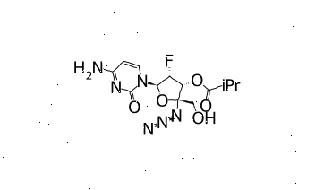 CC(C)C(=O)O[C@H]1[C@@H](F)[C@H](n2ccc(N)nc2=O)O[C@@]1(CO)N=[N+]=[N-]